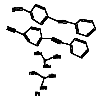 C#Cc1ccc(C#Cc2ccccc2)cc1.C#Cc1ccc(C#Cc2ccccc2)cc1.CCCCP(CCCC)CCCC.CCCCP(CCCC)CCCC.[Pt]